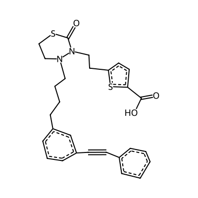 O=C(O)c1ccc(CCN2C(=O)SCCN2CCCCc2cccc(C#Cc3ccccc3)c2)s1